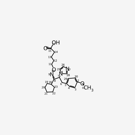 COc1ccc(CC(/C(=N\OCCCCC(=O)O)C2CCCCC2)n2ccnc2)cc1